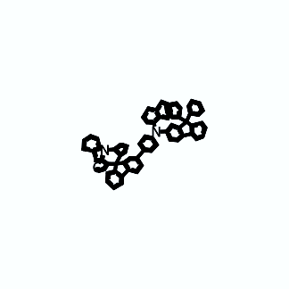 c1ccc(C2(c3ccccc3)c3ccccc3-c3ccc(N(c4ccc(-c5ccc6c(c5)C5(c7ccccc7-6)c6ccccc6-n6c7ccccc7c7cccc5c76)cc4)c4cccc5ccccc45)cc32)cc1